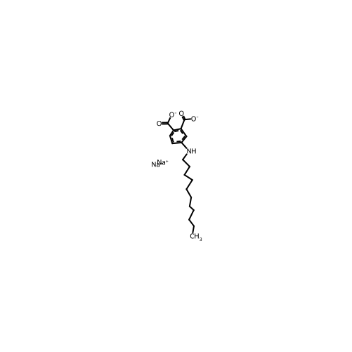 CCCCCCCCCCCNc1ccc(C(=O)[O-])c(C(=O)[O-])c1.[Na+].[Na+]